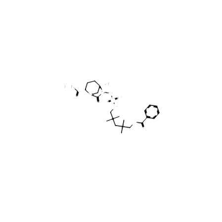 CC(C)(COC(=O)c1ccccc1)CC(C)(C)COS(=O)(=O)ON1C(=O)N2C[C@H]1CC[C@H]2C(N)=O